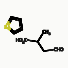 CC(CC=O)C(=O)O.c1ccsc1